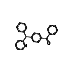 O=C(c1ccccc1)c1ccc(C(c2ccccc2)c2ccccn2)cc1